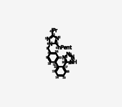 CCCCCc1nc(C(C)C)nn1Cc1ccc(-c2ccccc2-c2nnn[nH]2)cc1